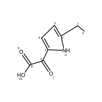 CCc1ccc(C(=O)C(=O)O)[nH]1